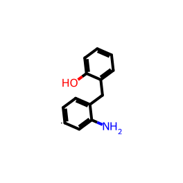 Nc1c[c]ccc1Cc1ccccc1O